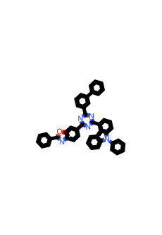 c1ccc(-c2cccc(-c3nc(-c4ccc5nc(-c6ccccc6)oc5c4)nc(-c4cccc5c4c4ccccc4n5-c4ccccc4)n3)c2)cc1